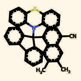 Cc1cc2c(C#N)ccc(C3(N4c5ccccc5Sc5ccccc54)c4ccccc4-c4ccccc43)c2cc1C